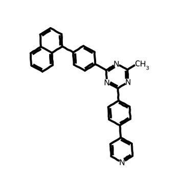 Cc1nc(-c2ccc(-c3ccncc3)cc2)nc(-c2ccc(-c3cccc4ccccc34)cc2)n1